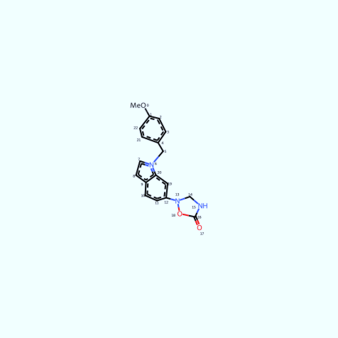 COc1ccc(Cn2ccc3ccc(N4CNC(=O)O4)cc32)cc1